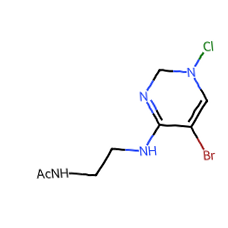 CC(=O)NCCNC1=NCN(Cl)C=C1Br